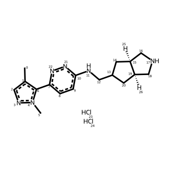 Cc1cnn(C)c1-c1ccc(NCC2C[C@H]3CNC[C@H]3C2)nn1.Cl.Cl